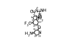 CN(C(=N)N)C(=O)c1cc2c(C(F)(F)F)cc(Oc3cc(N)ccn3)cc2[nH]1